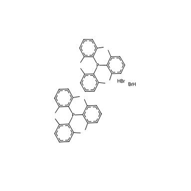 Br.Br.Cc1cccc(C)c1P(c1c(C)cccc1C)c1c(C)cccc1C.Cc1cccc(C)c1P(c1c(C)cccc1C)c1c(C)cccc1C